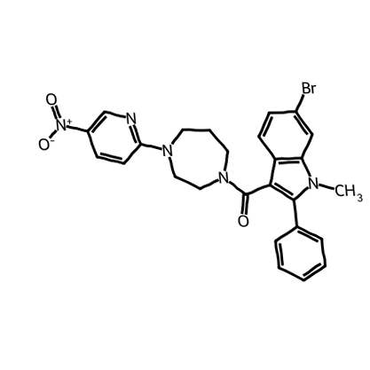 Cn1c(-c2ccccc2)c(C(=O)N2CCCN(c3ccc([N+](=O)[O-])cn3)CC2)c2ccc(Br)cc21